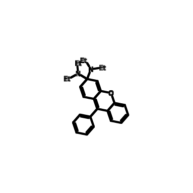 CCN(CC)C1(N(CC)CC)C=CC2=C(c3ccccc3)c3ccccc3OC2=C1